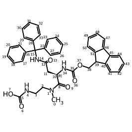 CN(CCNC(=O)O)C(=O)[C@@H](CC(=O)NC(c1ccccc1)(c1ccccc1)c1ccccc1)NC(=O)OCC1c2ccccc2-c2ccccc21